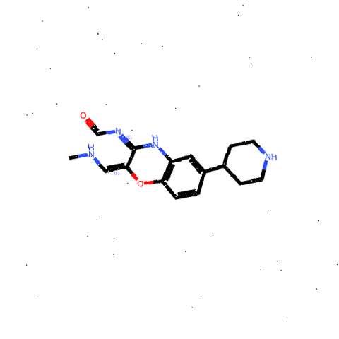 CN/C=C1/Oc2ccc(C3CCNCC3)cc2N/C1=N/C=O